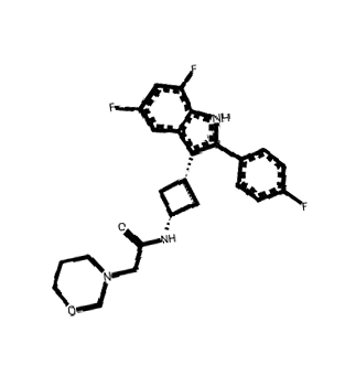 O=C(CN1CCCOC1)N[C@H]1C[C@@H](c2c(-c3ccc(F)cc3)[nH]c3c(F)cc(F)cc32)C1